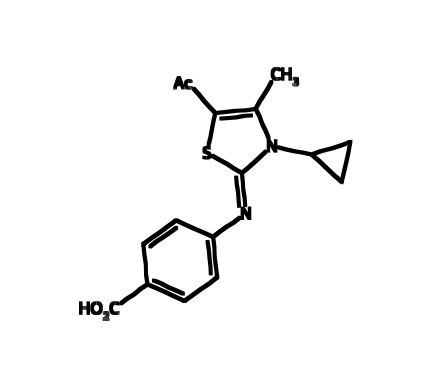 CC(=O)c1s/c(=N\c2ccc(C(=O)O)cc2)n(C2CC2)c1C